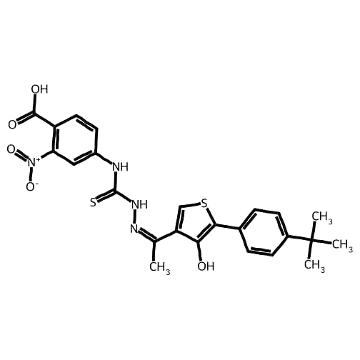 CC(=NNC(=S)Nc1ccc(C(=O)O)c([N+](=O)[O-])c1)c1csc(-c2ccc(C(C)(C)C)cc2)c1O